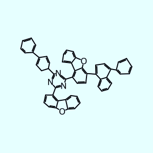 C1=CC(c2nc(-c3cccc4oc5ccccc5c34)nc(-c3ccc(-c4ccc(-c5ccccc5)c5ccccc45)c4oc5ccccc5c34)n2)CC=C1c1ccccc1